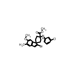 COC(=O)C1(Nc2cccc(Cl)c2)CCC2(CC1)C(Br)=Cc1cc(C)c(OC)cc12